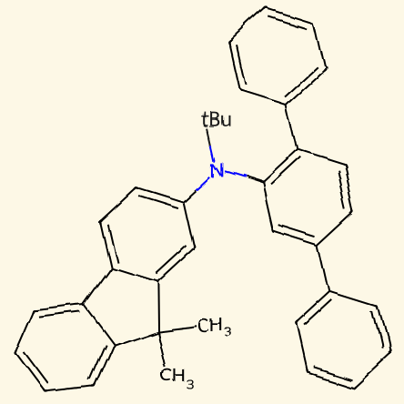 CC1(C)c2ccccc2-c2ccc(N(c3cc(-c4ccccc4)ccc3-c3ccccc3)C(C)(C)C)cc21